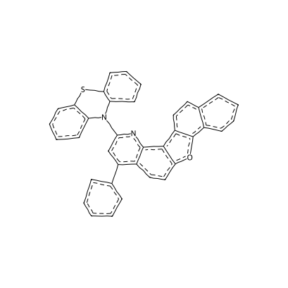 c1ccc(-c2cc(N3c4ccccc4Sc4ccccc43)nc3c2ccc2oc4c5ccccc5ccc4c23)cc1